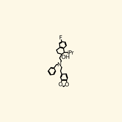 CC(C)C1c2ccc(F)cc2CCC1(O)CCN(CCc1ccc2c(c1)OCO2)Cc1ccccc1